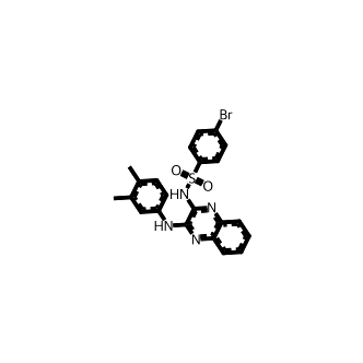 Cc1ccc(Nc2nc3ccccc3nc2NS(=O)(=O)c2ccc(Br)cc2)cc1C